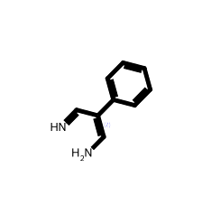 N=C/C(=C\N)c1ccccc1